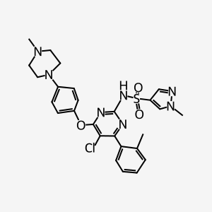 Cc1ccccc1-c1nc(NS(=O)(=O)c2cnn(C)c2)nc(Oc2ccc(N3CCN(C)CC3)cc2)c1Cl